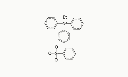 CC[N+](c1ccccc1)(c1ccccc1)c1ccccc1.O=S(=O)([O-])c1ccccc1